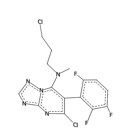 CN(CCCCl)c1c(-c2c(F)ccc(F)c2F)c(Cl)nc2ncnn12